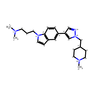 CN(C)CCCn1ccc2cc(-c3cnn(CC4CCN(C)CC4)c3)ccc21